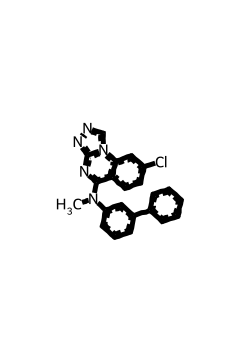 CN(c1cccc(-c2ccccc2)c1)c1nc2nncn2c2cc(Cl)ccc12